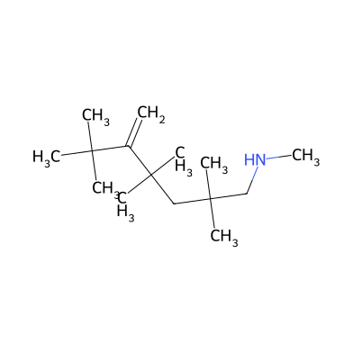 C=C(C(C)(C)C)C(C)(C)CC(C)(C)CNC